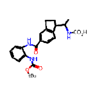 CC(NC(=O)O)C1CCc2cc(C(=O)Nc3ccccc3NC(=O)OC(C)(C)C)ccc21